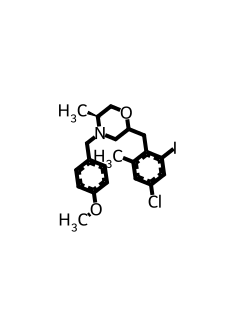 COc1ccc(CN2CC(Cc3c(C)cc(Cl)cc3I)OC[C@@H]2C)cc1